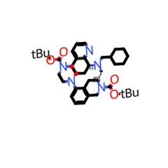 CC(C)(C)OC(=O)N1CCN(c2cccc3c2C[C@H](CN(CC2CCCCC2)[C@H]2CCCc4cccnc42)N(C(=O)OC(C)(C)C)C3)CC1